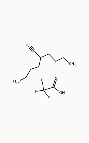 C#CC(CCCC)CCCC.O=C(O)C(F)(F)F